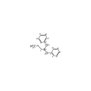 CCCB(Oc1ccccc1)Oc1ccccc1